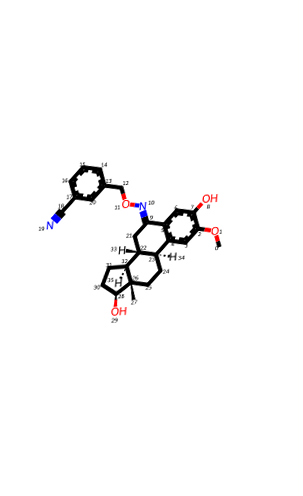 COc1cc2c(cc1O)/C(=N/OCc1cccc(C#N)c1)C[C@@H]1[C@@H]2CC[C@]2(C)[C@@H](O)CC[C@@H]12